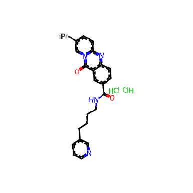 CC(C)c1ccc2nc3ccc(C(=O)NCCCCc4cccnc4)cc3c(=O)n2c1.Cl.Cl